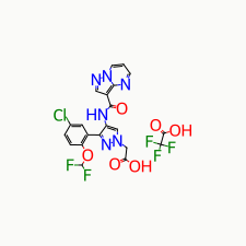 O=C(O)C(F)(F)F.O=C(O)Cn1cc(NC(=O)c2cnn3cccnc23)c(-c2cc(Cl)ccc2OC(F)F)n1